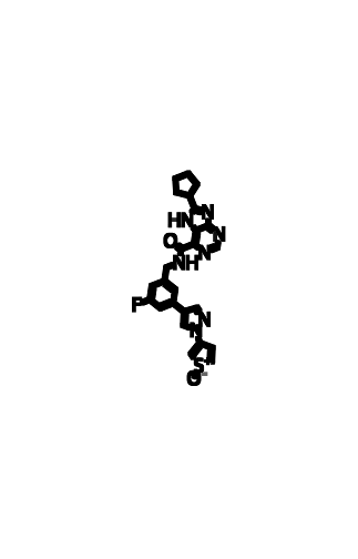 O=C(NCc1cc(F)cc(-c2cnn(-c3cc[s+]([O-])c3)c2)c1)c1ncnc2nc(C3CCCC3)[nH]c12